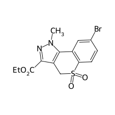 CCOC(=O)c1nn(C)c2c1CS(=O)(=O)c1ccc(Br)cc1-2